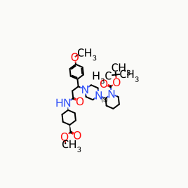 COc1ccc(C(CC(=O)N[C@H]2CC[C@H](C(=O)OC)CC2)N2CCN([C@@H]3CCCCN3C(=O)OC(C)(C)C)CC2)cc1